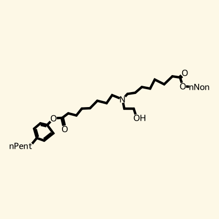 CCCCCCCCCOC(=O)CCCCCCCN(CCO)CCCCCCCC(=O)Oc1ccc(CCCCC)cc1